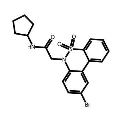 O=C(CN1c2ccc(Br)cc2-c2ccccc2S1(=O)=O)NC1CCCC1